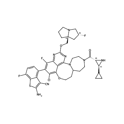 N#Cc1c(N)sc2c(F)ccc(-c3c(Cl)c4c5c(nc(OC[C@@]67CCCN6C[C@H](F)C7)nc5c3F)N3CCN(C(=O)[C@@H]5N[C@H]5C5CC5)CCC3CCO4)c12